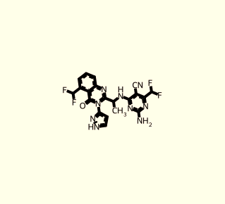 CC(Nc1nc(N)nc(C(F)F)c1C#N)c1nc2cccc(C(F)F)c2c(=O)n1-c1cc[nH]n1